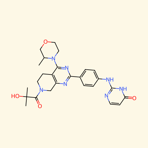 CC1COCCN1c1nc(-c2ccc(Nc3nccc(=O)[nH]3)cc2)nc2c1CCN(C(=O)C(C)(C)O)C2